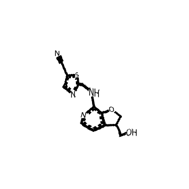 N#Cc1cnc(Nc2nccc3c2OCC3CO)s1